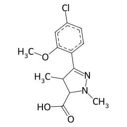 COc1cc(Cl)ccc1C1=NN(C)C(C(=O)O)C1C